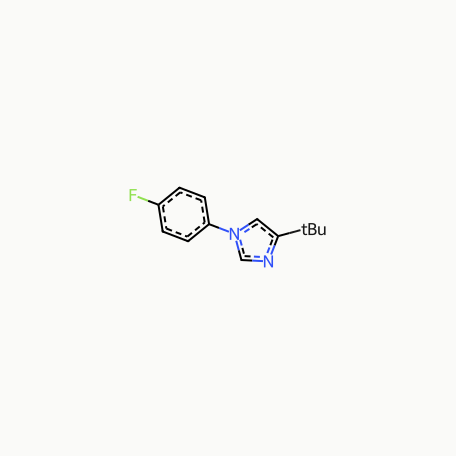 CC(C)(C)c1cn(-c2ccc(F)cc2)cn1